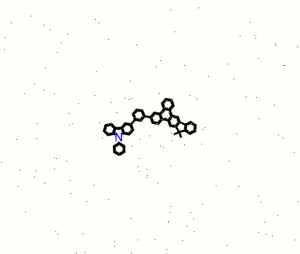 CC1(C)c2ccccc2-c2cc3c4ccccc4c4cc(-c5cccc(-c6ccc7c(c6)c6ccccc6n7-c6ccccc6)c5)ccc4c3cc21